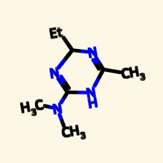 CCC1N=C(C)NC(N(C)C)=N1